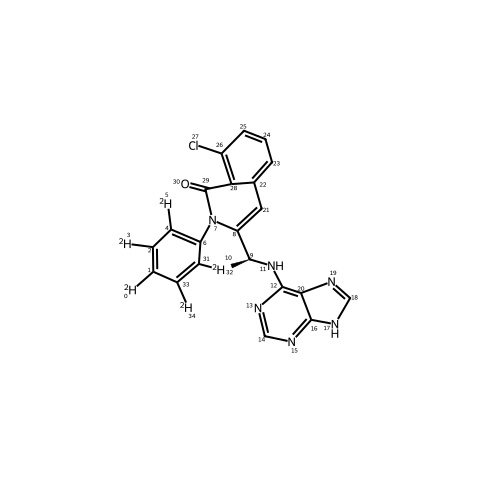 [2H]c1c([2H])c([2H])c(-n2c([C@H](C)Nc3ncnc4[nH]cnc34)cc3cccc(Cl)c3c2=O)c([2H])c1[2H]